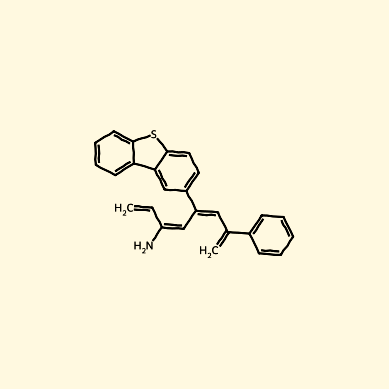 C=C/C(N)=C\C(=C/C(=C)c1ccccc1)c1ccc2sc3ccccc3c2c1